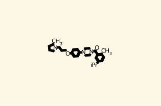 Cc1ccc(C(C)C)cc1C(=O)N1CCN(c2ccc(OCCCN3CCCC3C)cc2)CC1